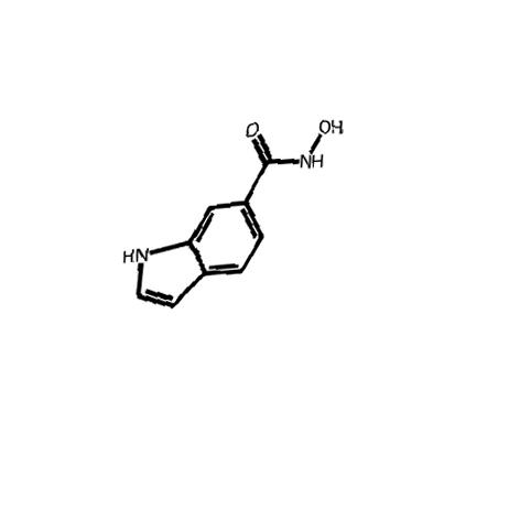 O=C(NO)c1ccc2cc[nH]c2c1